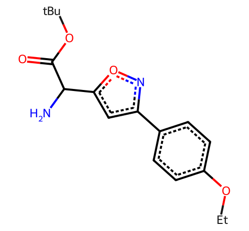 CCOc1ccc(-c2cc(C(N)C(=O)OC(C)(C)C)on2)cc1